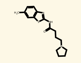 Cc1ccc2nc(NC(=O)CCCN3CCCC3)sc2c1